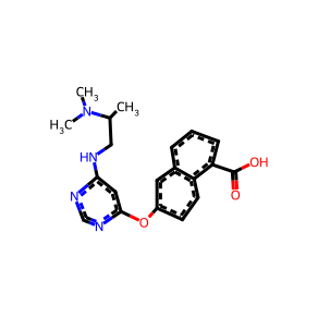 CC(CNc1cc(Oc2ccc3c(C(=O)O)cccc3c2)ncn1)N(C)C